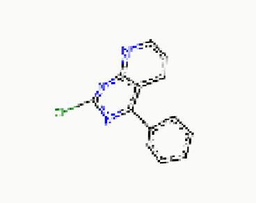 Clc1nc(-c2ccccc2)c2cccnc2n1